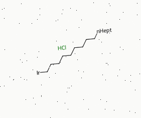 CCCCCCCCCCCCCCC[CH2][Ir].Cl